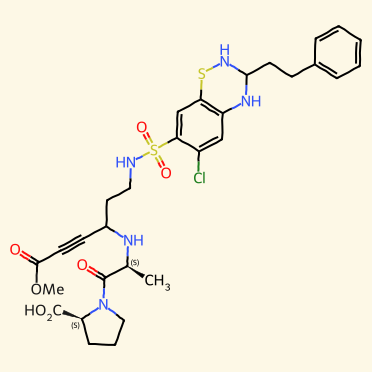 COC(=O)C#CC(CCNS(=O)(=O)c1cc2c(cc1Cl)NC(CCc1ccccc1)NS2)N[C@@H](C)C(=O)N1CCC[C@H]1C(=O)O